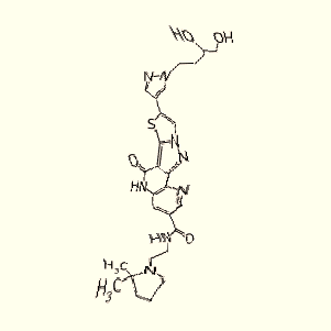 CC1(C)CCCN1CCNC(=O)c1cnc2c(c1)[nH]c(=O)c1c2nn2cc(-c3cnn(CCC(O)CO)c3)sc12